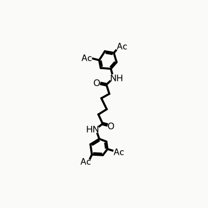 CC(=O)c1cc(NC(=O)CCCCC(=O)Nc2cc(C(C)=O)cc(C(C)=O)c2)cc(C(C)=O)c1